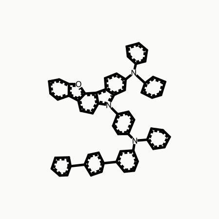 c1ccc(-c2ccc(-c3cccc(N(c4ccccc4)c4ccc(-n5c6cc(N(c7ccccc7)c7ccccc7)ccc6c6c7oc8ccccc8c7ccc65)cc4)c3)cc2)cc1